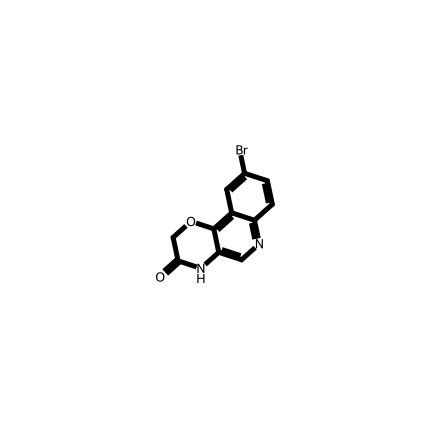 O=C1COc2c(cnc3ccc(Br)cc23)N1